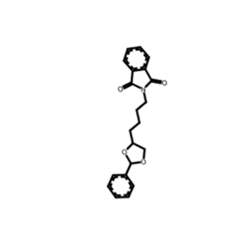 O=C1c2ccccc2C(=O)N1CCCCC1COC(c2ccccc2)O1